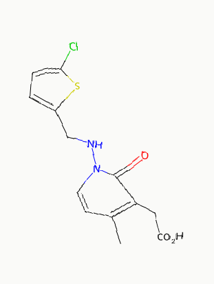 Cc1ccn(NCc2ccc(Cl)s2)c(=O)c1CC(=O)O